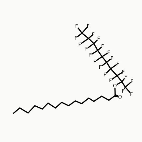 CCCCCCCCCCCCCCCC(=O)OC(F)(C(F)(F)F)C(F)(F)C(F)(F)C(F)(F)C(F)(F)C(F)(F)C(F)(F)C(F)(F)C(F)(F)F